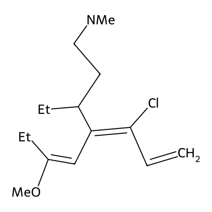 C=C/C(Cl)=C(\C=C(/CC)OC)C(CC)CCNC